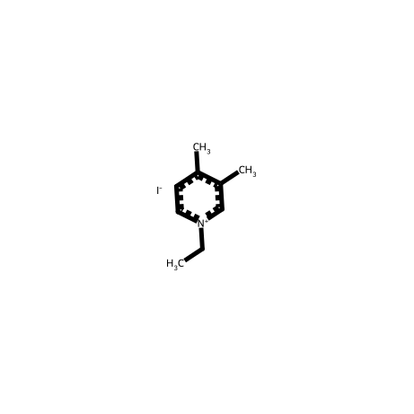 CC[n+]1ccc(C)c(C)c1.[I-]